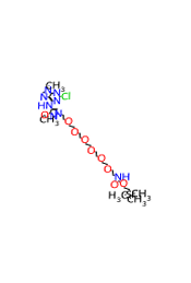 COc1nn(CCOCCOCCOCCOCCOCCOCCNC(=O)OCC[Si](C)(C)C)cc1Nc1nc(Cl)nc2c1ncn2C